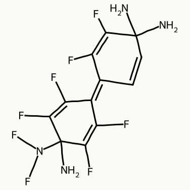 NC1(N)C=CC(=C2C(F)=C(F)C(N)(N(F)F)C(F)=C2F)C(F)=C1F